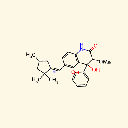 COC1C(=O)Nc2ccc(/C=C3\CC(C)CC3(C)C)c(O)c2C1(O)c1ccccc1